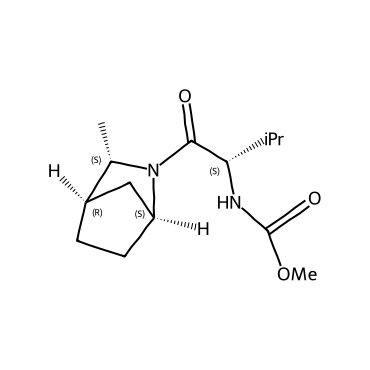 COC(=O)N[C@H](C(=O)N1[C@H]2CC[C@H](C2)[C@@H]1C)C(C)C